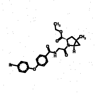 CCOC(=O)[C@@H]1C[C@]2(C)C[C@@H]2N1C(=O)CNC(=O)c1ccc(Oc2ccc(Br)cc2)cc1